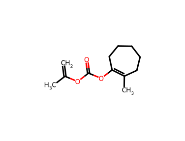 C=C(C)OC(=O)OC1=C(C)CCCCC1